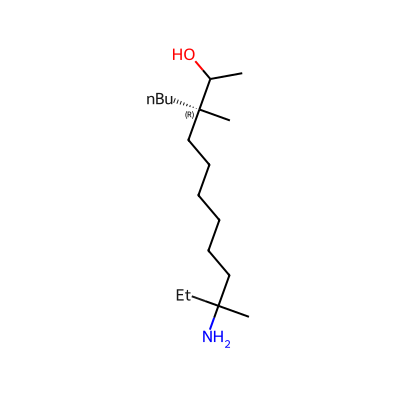 CCCC[C@](C)(CCCCCCC(C)(N)CC)C(C)O